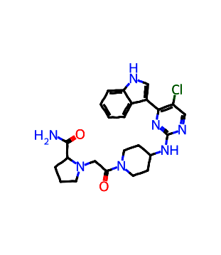 NC(=O)C1CCCN1CC(=O)N1CCC(Nc2ncc(Cl)c(-c3c[nH]c4ccccc34)n2)CC1